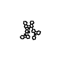 c1ccc(-n2c3ccccc3c3cc(-c4cc5ccccc5c5c6c7ccccc7cc7c8cc9c(nc8n(c45)c76)c4cccc5c6ccccc6n9c54)ccc32)cc1